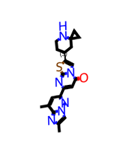 Cc1cn2nc(-c3cc(=O)n4cc([C@H]5CCNC6(CC6)C5)sc4n3)cc(C)c2n1